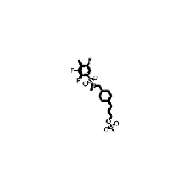 Cc1c(F)cc(S(=O)(=O)N(C)CC2CCC(CCCOS(C)(=O)=O)CC2)c(F)c1F